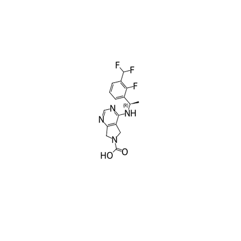 C[C@@H](Nc1ncnc2c1CN(C(=O)O)C2)c1cccc(C(F)F)c1F